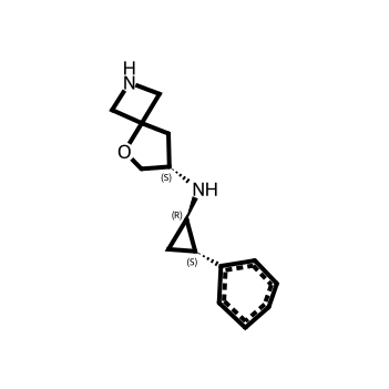 c1ccc([C@@H]2C[C@H]2N[C@@H]2COC3(CNC3)C2)cc1